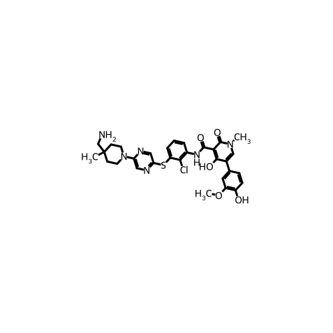 COc1cc(-c2cn(C)c(=O)c(C(=O)Nc3cccc(Sc4cnc(N5CCC(C)(CN)CC5)cn4)c3Cl)c2O)ccc1O